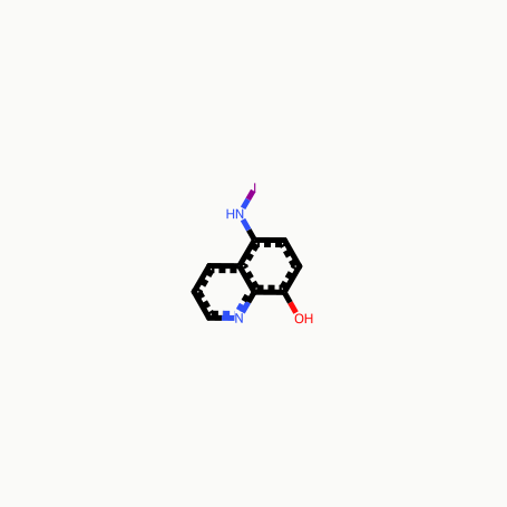 Oc1ccc(NI)c2cccnc12